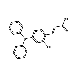 Cc1cc(N(c2ccccc2)c2ccccc2)ccc1/C=C/C(=O)O